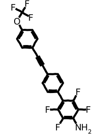 Nc1c(F)c(F)c(-c2ccc(C#Cc3ccc(OC(F)(F)F)cc3)cc2)c(F)c1F